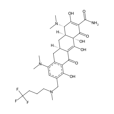 CN(CCCC(F)(F)F)Cc1cc(N(C)C)c2c(c1O)C(=O)C1=C(O)[C@]3(O)C(=O)C(C(N)=O)=C(O)[C@@H](N(C)C)[C@@H]3C[C@@H]1C2